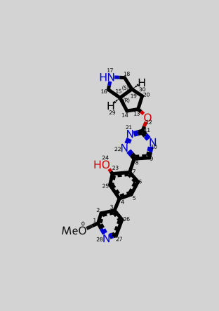 COc1cc(-c2ccc(-c3cnc(OC4C[C@H]5CNC[C@H]5C4)nn3)c(O)c2)ccn1